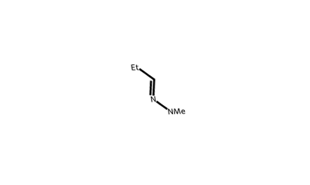 [CH2]CC=NNC